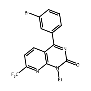 CCn1c(=O)nc(-c2cccc(Br)c2)c2ccc(C(F)(F)F)nc21